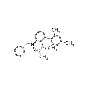 Cc1cc(C)c(-c2cccc3c2c(=O)c(C)nn3Cc2ccccc2)c(C)c1